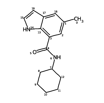 Cc1cc(C(=O)NC2CCCCC2)c2[nH]ccc2c1